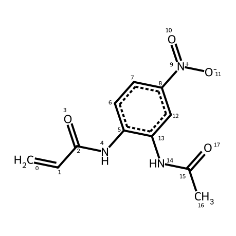 C=CC(=O)Nc1ccc([N+](=O)[O-])cc1NC(C)=O